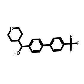 OC(c1ccc(-c2ccc(C(F)(F)F)cc2)cc1)C1CCOCC1